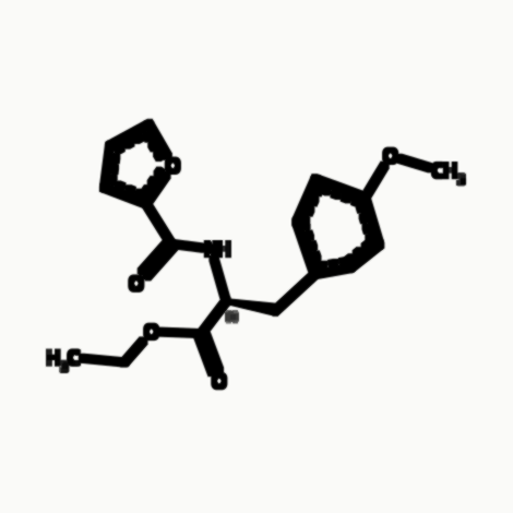 CCOC(=O)[C@H](Cc1ccc(OC)cc1)NC(=O)c1ccco1